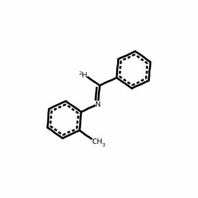 [2H]/C(=N\c1ccccc1C)c1ccccc1